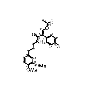 COc1ccc(CCCNC(=O)C(=COC(F)F)c2ccc(C)cc2)cc1OC